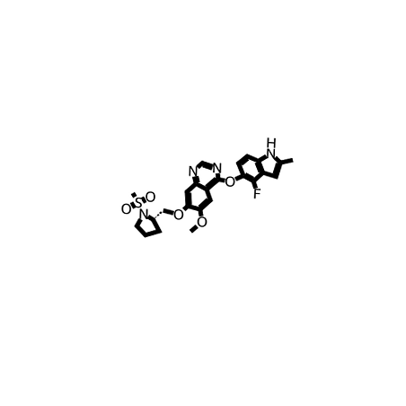 COc1cc2c(Oc3ccc4[nH]c(C)cc4c3F)ncnc2cc1OC[C@@H]1CCCN1S(C)(=O)=O